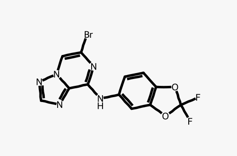 FC1(F)Oc2ccc(Nc3nc(Br)cn4ncnc34)cc2O1